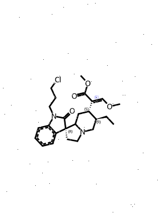 CC[C@H]1CN2CC[C@]3(C(=O)N(CCCCl)c4ccccc43)C2C[C@@H]1/C(=C\OC)C(=O)OC